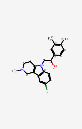 CN1CCc2c(c3cc(Cl)ccc3n2CC(O)c2ccc(C=O)c(C(F)(F)F)c2)C1